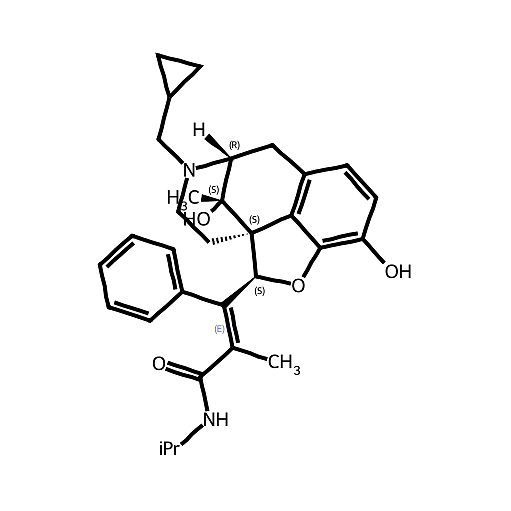 C/C(C(=O)NC(C)C)=C(/c1ccccc1)[C@@H]1Oc2c(O)ccc3c2[C@@]12CCN(CC1CC1)[C@H](C3)[C@@]2(C)O